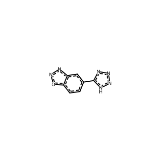 c1cc2onnc2cc1-c1nnn[nH]1